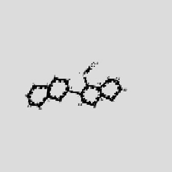 O=Pc1c(-c2ccc3ccccc3c2)ccc2ccccc12